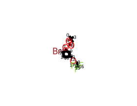 CC(C)(C)OC(=O)Oc1cc(COCC(F)(F)F)ccc1Br